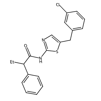 CCC(C(=O)Nc1ncc(Cc2cccc(Cl)c2)s1)c1ccccc1